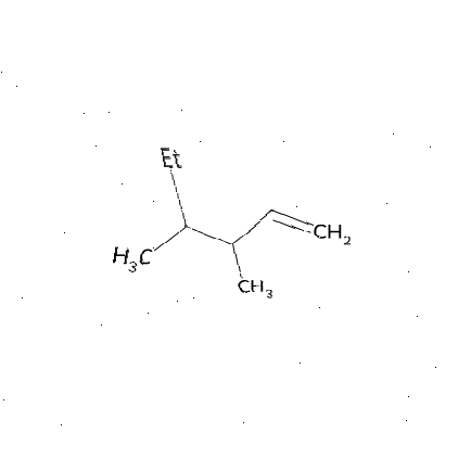 C=CC(C)C(C)CC